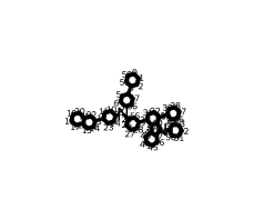 c1ccc(-c2ccc(N(c3ccc(-c4ccc5ccccc5c4)cc3)c3cccc(-c4ccc(-c5ccccc5)c5c4c4ccccc4n5-c4ccccc4)c3)cc2)cc1